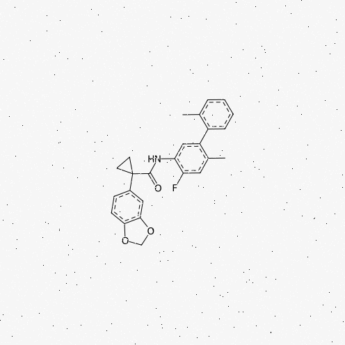 Cc1ccccc1-c1cc(NC(=O)C2(c3ccc4c(c3)OCO4)CC2)c(F)cc1C